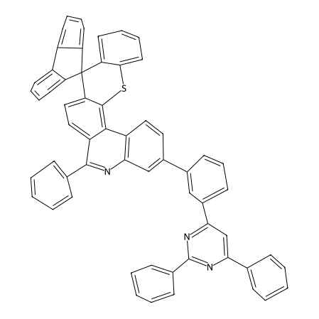 c1ccc(-c2cc(-c3cccc(-c4ccc5c(c4)nc(-c4ccccc4)c4ccc6c(c45)Sc4ccccc4C64c5ccccc5-c5ccccc54)c3)nc(-c3ccccc3)n2)cc1